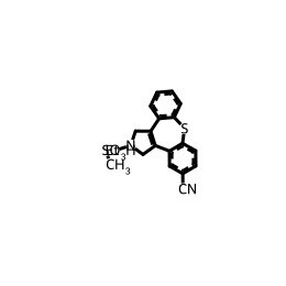 CCN1CC2=C(C1)c1cc(C#N)ccc1Sc1ccccc12.CS(=O)(=O)O